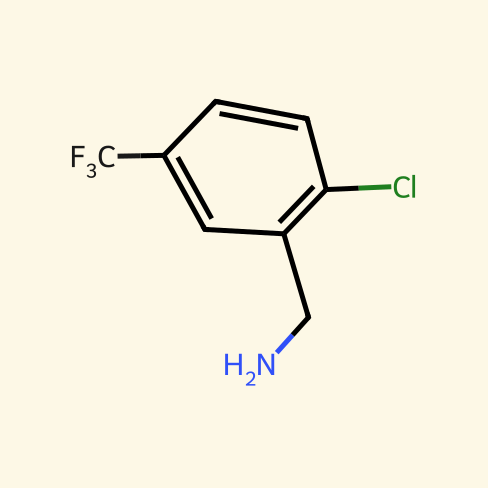 NCc1cc(C(F)(F)F)ccc1Cl